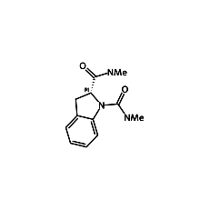 CNC(=O)[C@H]1Cc2ccccc2N1C(=O)NC